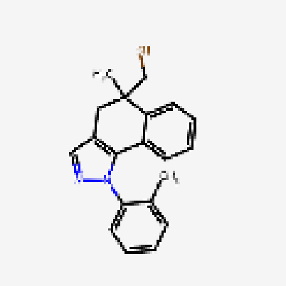 Cc1ccccc1-n1ncc2c1-c1ccccc1C(C)(CS)C2